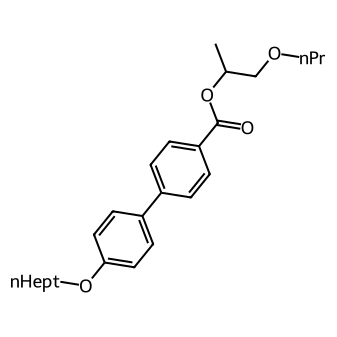 CCCCCCCOc1ccc(-c2ccc(C(=O)OC(C)COCCC)cc2)cc1